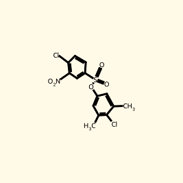 Cc1cc(OS(=O)(=O)c2ccc(Cl)c([N+](=O)[O-])c2)cc(C)c1Cl